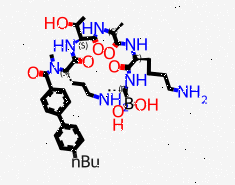 CCCCc1ccc(-c2ccc(C(=O)N(C)[C@@H](CCCN)C(=O)N[C@H](C(=O)N[C@@H](C)C(=O)N[C@@H](CCCCN)C(=O)N[C@@H](C)B(O)O)C(C)O)cc2)cc1